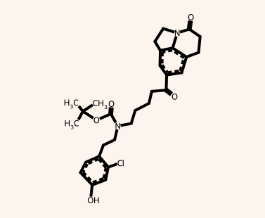 CC(C)(C)OC(=O)N(CCCCC(=O)c1cc2c3c(c1)CCN3C(=O)CC2)CCc1ccc(O)cc1Cl